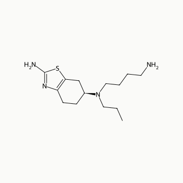 CCCN(CCCCN)[C@H]1CCc2nc(N)sc2C1